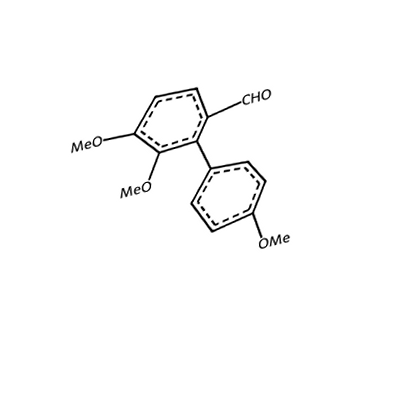 COc1ccc(-c2c(C=O)ccc(OC)c2OC)cc1